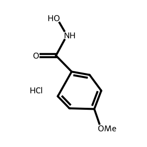 COc1ccc(C(=O)NO)cc1.Cl